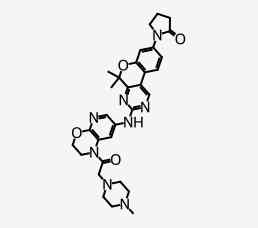 CN1CCN(CC(=O)N2CCOc3ncc(Nc4ncc5c(n4)C(C)(C)Oc4cc(N6CCCC6=O)ccc4-5)cc32)CC1